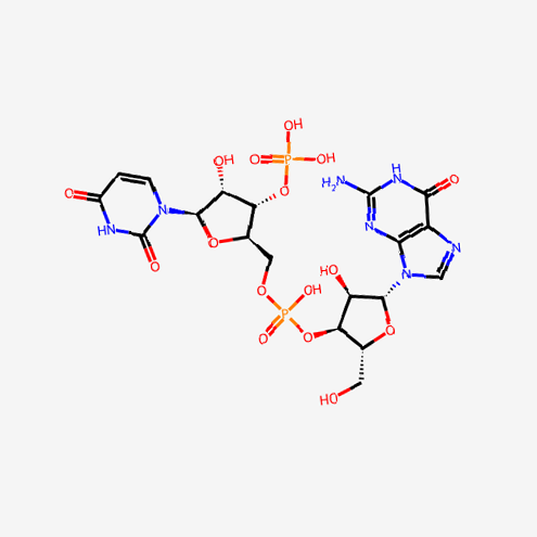 Nc1nc2c(ncn2[C@@H]2O[C@H](CO)[C@@H](OP(=O)(O)OC[C@H]3O[C@@H](n4ccc(=O)[nH]c4=O)[C@H](O)[C@@H]3OP(=O)(O)O)[C@H]2O)c(=O)[nH]1